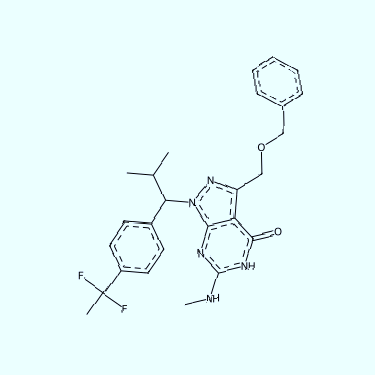 CNc1nc2c(c(COCc3ccccc3)nn2C(c2ccc(C(C)(F)F)cc2)C(C)C)c(=O)[nH]1